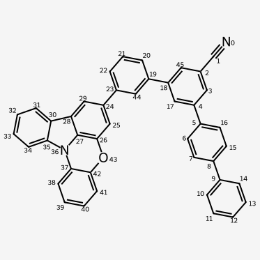 N#Cc1cc(-c2ccc(-c3ccccc3)cc2)cc(-c2cccc(-c3cc4c5c(c3)c3ccccc3n5-c3ccccc3O4)c2)c1